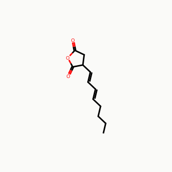 CCCCC=CC=CC1CC(=O)OC1=O